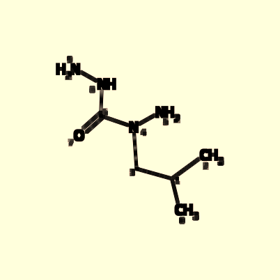 CC(C)CN(N)C(=O)NN